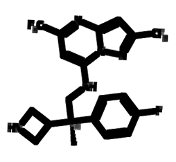 C[C@](CNc1cc(C(F)(F)F)nc2cc(C(F)(F)F)nn12)(c1ccc(F)cc1)C1CNC1